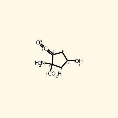 NC1(C(=O)O)CC(O)CC1=C=O